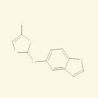 CCOC(=O)C1=CSC(Nc2ccc3[nH]ccc3c2)N1